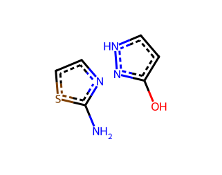 Nc1nccs1.Oc1cc[nH]n1